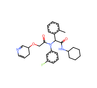 Cc1ccccc1C(C(=O)NC1CCCCC1)N(C(=O)COC1C=NC=CC1)c1cccc(F)c1